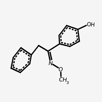 CON=C(Cc1ccccc1)c1ccc(O)cc1